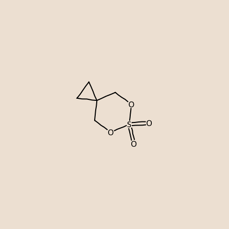 O=S1(=O)OCC2(CC2)CO1